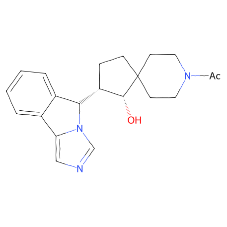 CC(=O)N1CCC2(CC[C@@H](C3c4ccccc4-c4cncn43)[C@H]2O)CC1